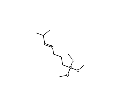 CO[Si](CCCN=CC(C)C)(OC)OC